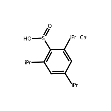 CC(C)c1cc(C(C)C)c(S(=O)O)c(C(C)C)c1.[Ca]